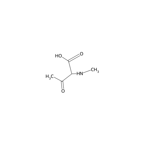 CNC(C(C)=O)C(=O)O